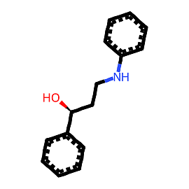 O[C@@H](CCNc1ccccc1)c1ccccc1